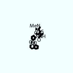 C=N/C(=C\NC)c1scc2[nH]c(=O)n(-c3cccc(S(=O)(=O)N4CCCc5ccccc54)c3)c(=O)c12